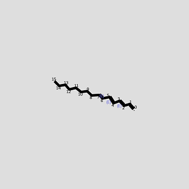 [CH]=C/C=C/C=C/C=C/CCCCCCCC